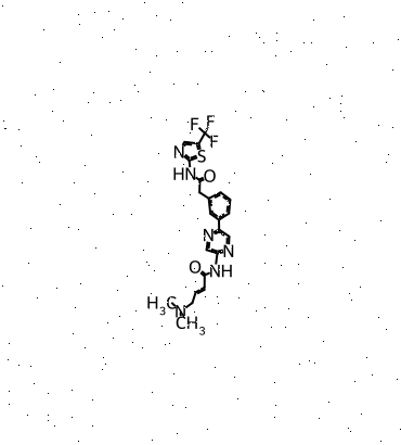 CN(C)C/C=C/C(=O)Nc1cnc(-c2cccc(CC(=O)Nc3ncc(C(F)(F)F)s3)c2)cn1